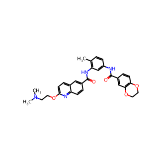 Cc1ccc(NC(=O)c2ccc3c(c2)OCCO3)cc1NC(=O)c1ccc2nc(OCCN(C)C)ccc2c1